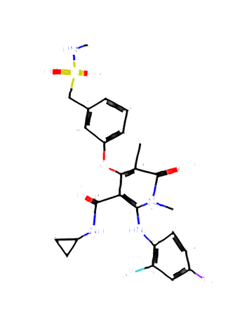 CNS(=O)(=O)Cc1cccc(Oc2c(C(=O)NC3CC3)c(Nc3ccc(I)cc3F)n(C)c(=O)c2C)c1